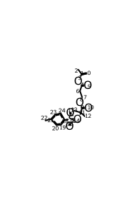 C=C(C)OC(=O)CCOC(=O)C(C)(C)OS(=O)(=O)c1ccc(C)cc1